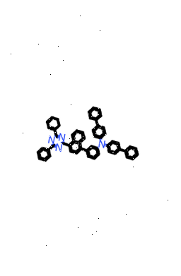 C1=CCCC(c2nc(-c3ccccc3)nc(-c3ccc(-c4cccc(N(c5ccc(-c6ccccc6)cc5)c5ccc(-c6ccccc6)cc5)c4)c4ccccc34)n2)=C1